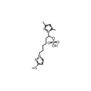 CSc1ccn(CCCCCC(OS(=O)(=O)O)n2nc(C)cc2C)n1